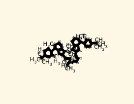 Cc1ccc(C2=Cc3c(ccc(C)c3-c3ccc(C(C)(C)C)cc3C)C2[Si](C)(C)C2C(c3ccc(C)o3)=Cc3c2ccc(C)c3-c2ccc(C(C)(C)C)cc2C)o1